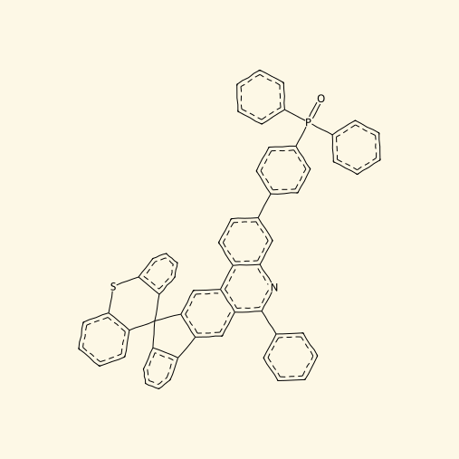 O=P(c1ccccc1)(c1ccccc1)c1ccc(-c2ccc3c(c2)nc(-c2ccccc2)c2cc4c(cc23)C2(c3ccccc3Sc3ccccc32)c2ccccc2-4)cc1